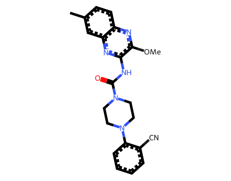 COc1nc2ccc(C)cc2nc1NC(=O)N1CCN(c2ccccc2C#N)CC1